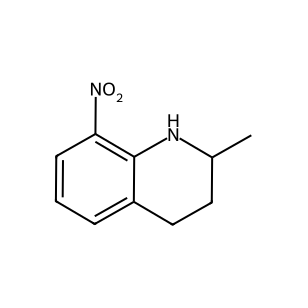 CC1CCc2cccc([N+](=O)[O-])c2N1